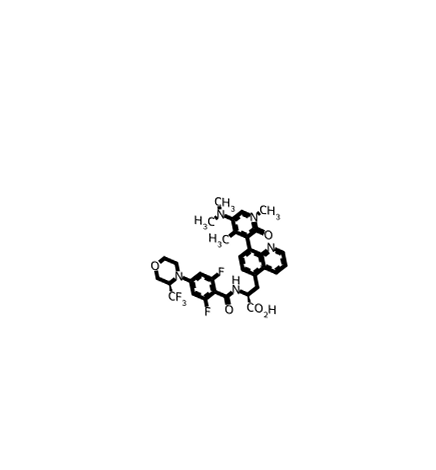 Cc1c(N(C)C)cn(C)c(=O)c1-c1ccc(C[C@H](NC(=O)c2c(F)cc(N3CCOC[C@@H]3C(F)(F)F)cc2F)C(=O)O)c2cccnc12